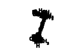 Cc1nc(Nc2ncc(C(=O)Nc3c(C)cccc3Cl)s2)cc(N2CCN(C(=O)CCCCCOCCOCCOCCCCCCN[C@H](C(=O)N3C[C@H](O)C[C@H]3C(=O)NCc3ccc(-c4scnc4C)cc3)C(C)(C)C)CC2)n1